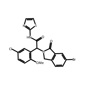 COc1ccc(Cl)cc1C(C(=O)Nc1nccs1)N1Cc2ccc(Br)cc2C1=O